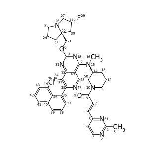 Cc1nccc(C=CC(=O)N2CCC[C@H](N(C)c3nc(OC[C@@]45CCCN4C[C@H](F)C5)nc4c(F)c(-c5cccc6cccc(Cl)c56)ncc34)C2)n1